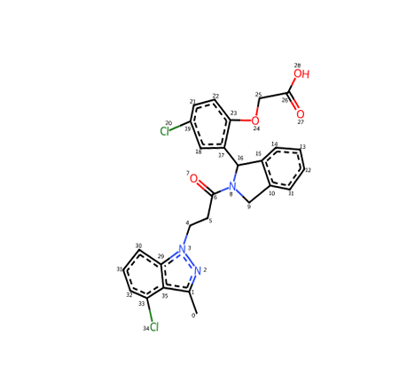 Cc1nn(CCC(=O)N2Cc3ccccc3C2c2cc(Cl)ccc2OCC(=O)O)c2cccc(Cl)c12